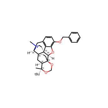 CN1CC[C@]23c4c5ccc(OCc6ccccc6)c4O[C@H]2[C@@]24CC[C@]3(C[C@@H]2[C@@](C)(C(C)(C)C)OCO4)[C@H]1C5